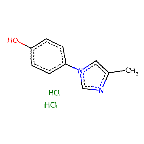 Cc1cn(-c2ccc(O)cc2)cn1.Cl.Cl